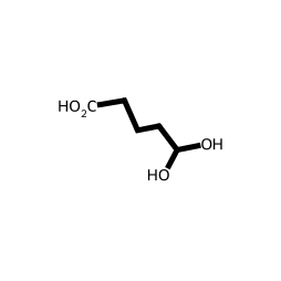 O=C(O)CCCC(O)O